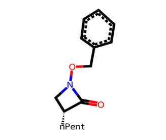 CCCCC[C@@H]1CN(OCc2ccccc2)C1=O